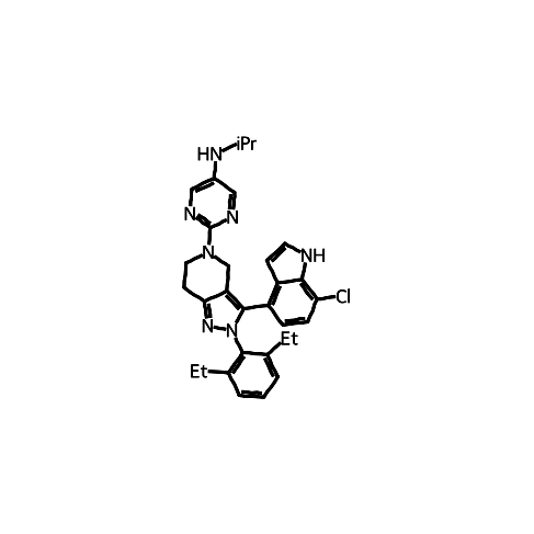 CCc1cccc(CC)c1-n1nc2c(c1-c1ccc(Cl)c3[nH]ccc13)CN(c1ncc(NC(C)C)cn1)CC2